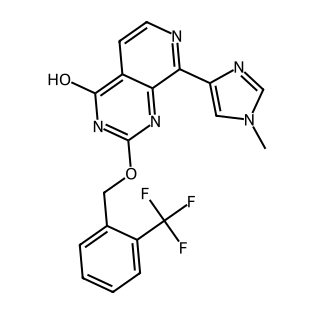 Cn1cnc(-c2nccc3c(O)nc(OCc4ccccc4C(F)(F)F)nc23)c1